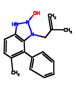 C=C(C)CN1c2c(ccc(C)c2-c2ccccc2)NN1O